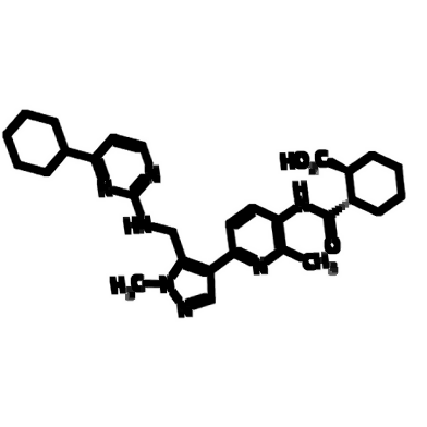 Cc1nc(-c2cnn(C)c2CNc2nccc(C3CCCCC3)n2)ccc1NC(=O)[C@H]1CCCC[C@@H]1C(=O)O